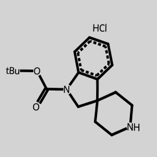 CC(C)(C)OC(=O)N1CC2(CCNCC2)c2ccccc21.Cl